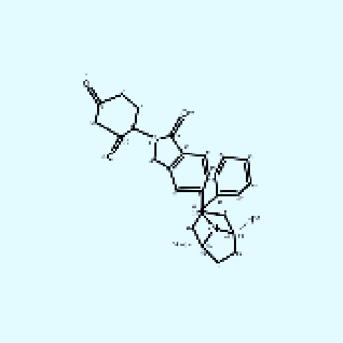 O=C1CCC(N2Cc3cc(C4C[C@H]5CC[C@@H](C4)N5Cc4ccccc4)ccc3C2=O)C(=O)C1